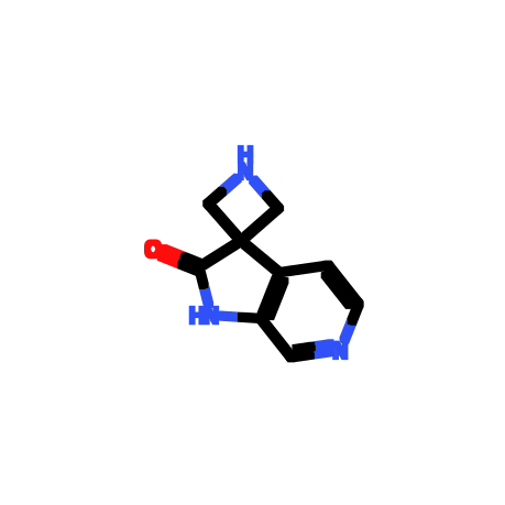 O=C1Nc2cnccc2C12CNC2